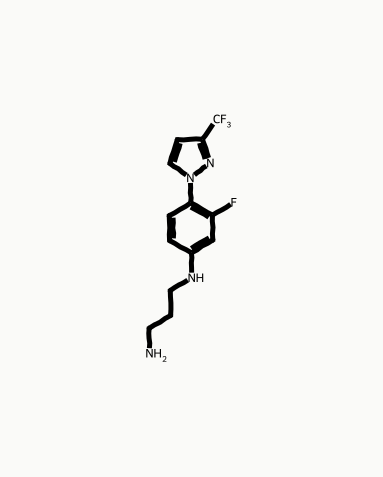 NCCCNc1ccc(-n2ccc(C(F)(F)F)n2)c(F)c1